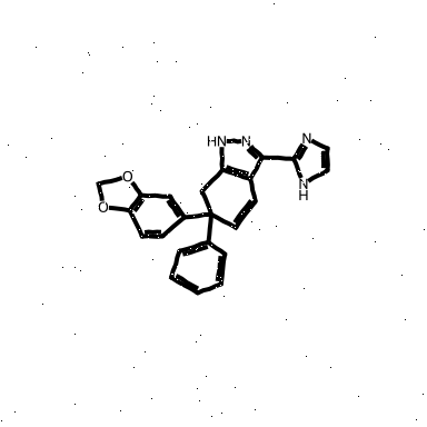 C1=CC(c2ccccc2)(c2ccc3c(c2)OCO3)Cc2[nH]nc(-c3ncc[nH]3)c21